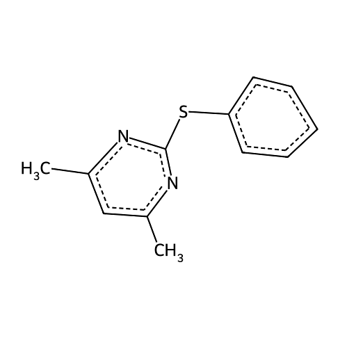 Cc1cc(C)nc(Sc2ccccc2)n1